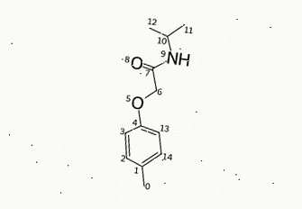 Cc1ccc(OCC(=O)NC(C)C)cc1